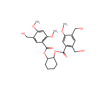 COc1cc(OC)c(C(=O)OC2CCCCC2OC(=O)c2cc(OC)c(CO)cc2CO)cc1CO